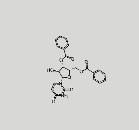 O=C(OC[C@@H]1O[C@H](n2ccc(=O)[nH]c2=O)[C@@H](O)[C@@H]1OC(=O)c1ccccc1)c1ccccc1